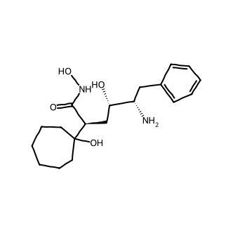 N[C@@H](Cc1ccccc1)[C@@H](O)C[C@H](C(=O)NO)C1(O)CCCCCC1